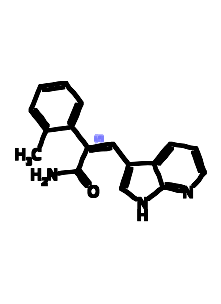 Cc1ccccc1/C(=C/c1c[nH]c2ncccc12)C(N)=O